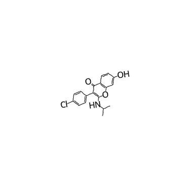 CC(C)Nc1oc2cc(O)ccc2c(=O)c1-c1ccc(Cl)cc1